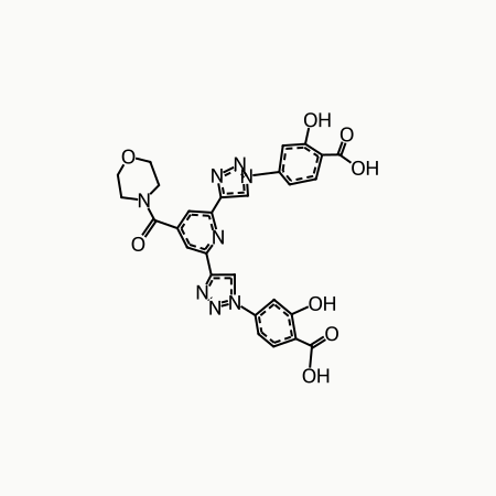 O=C(O)c1ccc(-n2cc(-c3cc(C(=O)N4CCOCC4)cc(-c4cn(-c5ccc(C(=O)O)c(O)c5)nn4)n3)nn2)cc1O